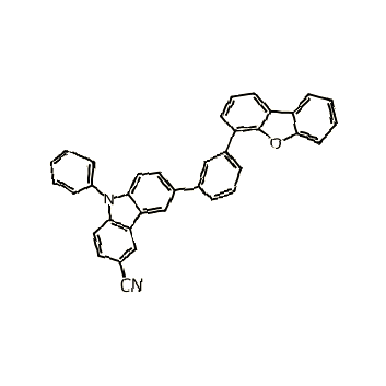 N#Cc1ccc2c(c1)c1cc(-c3cccc(-c4cccc5c4oc4ccccc45)c3)ccc1n2-c1ccccc1